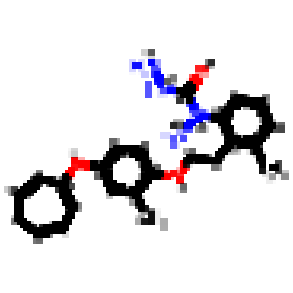 Cc1cc(OC2=CC=CCC=C2)ccc1OCCc1c(C)cccc1N(N)C(=O)NN